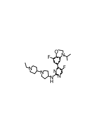 CCN1CCC(N2CCC(Nc3ncc(F)c(-c4cc(F)c5c(c4)N(C(C)C)CCO5)n3)CC2)CC1